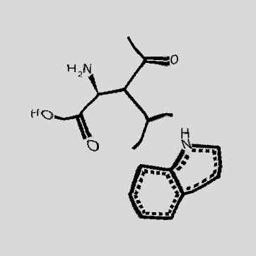 CC(=O)C(C(C)C)[C@H](N)C(=O)O.c1ccc2[nH]ccc2c1